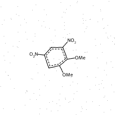 COc1cc([N+](=O)[O-])[c]c([N+](=O)[O-])c1OC